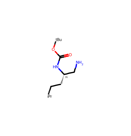 CC(C)CC[C@@H](CN)NC(=O)OC(C)(C)C